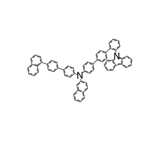 c1ccc(-n2c3ccccc3c3ccccc32)c(-c2ccc(-c3ccc(N(c4ccc(-c5ccc(-c6cccc7ccccc67)cc5)cc4)c4ccc5ccccc5c4)cc3)cc2)c1